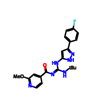 COc1cc(C(=O)/N=C(\Nc2cc(-c3ccc(F)cc3)n[nH]2)NC(C)(C)C)ccn1